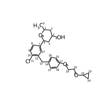 CC1CC(O)CC(c2ccc(Cl)c(Cc3ccc(OCCOC4CC4)cc3)c2)O1